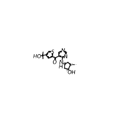 [CH2][C@@H]1C[C@@H](Nc2ncncc2C(=O)c2cc(C(C)(C)O)cs2)C[C@@H]1O